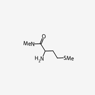 CNC(=O)C(N)CCSC